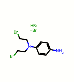 Br.Br.Nc1ccc(N(CCBr)CCBr)cc1